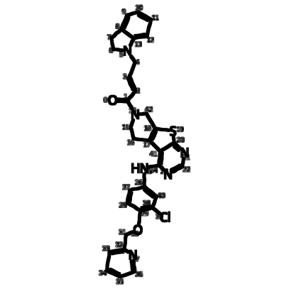 O=C(C=CCN1CCc2ccccc21)N1CCc2c(sc3ncnc(Nc4ccc(OCc5ccccn5)c(Cl)c4)c23)C1